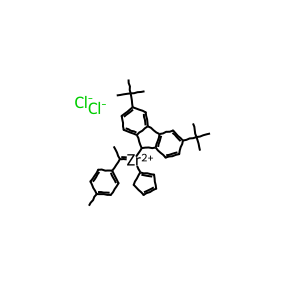 C/[C](c1ccc(C)cc1)=[Zr+2](/[C]1=CC=CC1)[CH]1c2ccc(C(C)(C)C)cc2-c2cc(C(C)(C)C)ccc21.[Cl-].[Cl-]